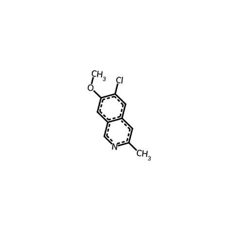 COc1cc2cnc(C)cc2cc1Cl